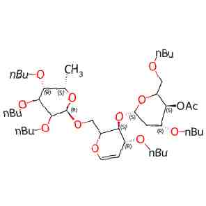 CCCCOCC1O[C@@H](O[C@@H]2C(CO[C@@H]3O[C@@H](C)[C@@H](OCCCC)C(OCCCC)C3OCCCC)OC=C[C@H]2OCCCC)C[C@@H](OCCCC)[C@@H]1OC(C)=O